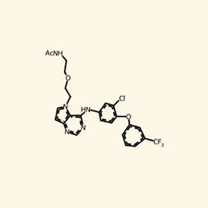 CC(=O)NCCOCCn1ccc2ncnc(Nc3ccc(Oc4cccc(C(F)(F)F)c4)c(Cl)c3)c21